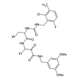 CCC(NC(=O)C(CC(C)C)NC(=O)NCc1c(F)ccc(C)c1Cl)C(=O)C(=O)NCc1cc(OC)cc(OC)c1